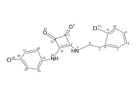 O=c1c(NCCc2ccccc2Cl)c(Nc2ccc(Cl)cc2)c1=O